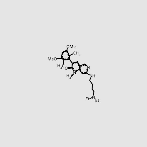 CCN(CC)CCCCNc1cc2c(cn1)cc(-c1c(C)c(OC)cc(OC)c1C)c(=O)n2C